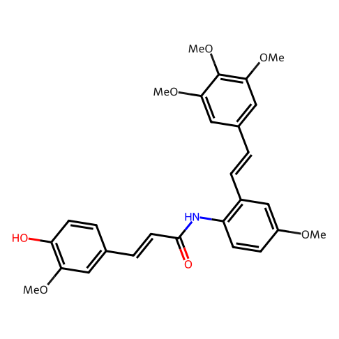 COc1ccc(NC(=O)/C=C/c2ccc(O)c(OC)c2)c(C=Cc2cc(OC)c(OC)c(OC)c2)c1